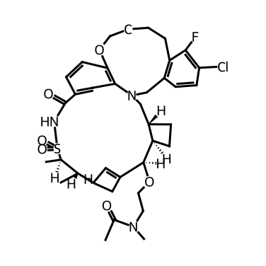 CC(=O)N(C)CCO[C@H]1C2=C[C@@H](C2)[C@H](C)[C@@H](C)S(=O)(=O)NC(=O)c2ccc3c(c2)N(Cc2ccc(Cl)c(F)c2CCCCO3)C[C@@H]2CC[C@H]21